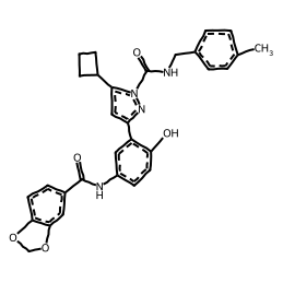 Cc1ccc(CNC(=O)n2nc(-c3cc(NC(=O)c4ccc5c(c4)OCO5)ccc3O)cc2C2CCC2)cc1